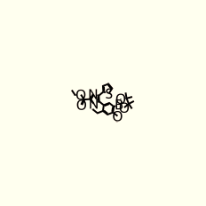 CCOC(=O)c1nc(-c2cccs2)c2n1CCc1cc(OC)c(B3OC(C)(C)C(C)(C)O3)cc1-2